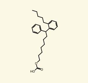 CCCCCc1ccccc1C(CCCCCCCOC(=O)O)c1ccccc1